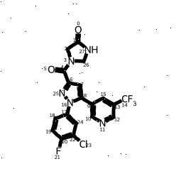 O=C1CN(C(=O)c2cc(-c3cncc(C(F)(F)F)c3)n(-c3ccc(F)c(Cl)c3)n2)CN1